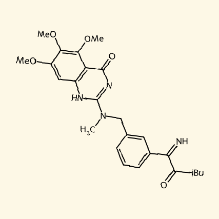 CCC(C)C(=O)C(=N)c1cccc(CN(C)c2nc(=O)c3c(OC)c(OC)c(OC)cc3[nH]2)c1